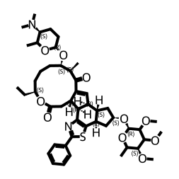 CC[C@H]1CCC[C@H](O[C@H]2CC[C@H](N(C)C)C(C)O2)[C@@H](C)C(=O)C2=C[C@H]3[C@@H]4C[C@H](O[C@@H]5OC(C)[C@H](OC)C(OC)C5OC)C[C@H]4c4sc(-c5ccccc5)nc4[C@H]3[C@@H]2CC(=O)O1